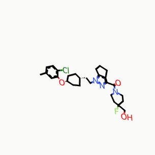 Cc1ccc(Cl)c(O[C@H]2CC[C@@H](CCn3nc(C(=O)N4CCC(F)(CO)CC4)c4c3CCC4)CC2)c1